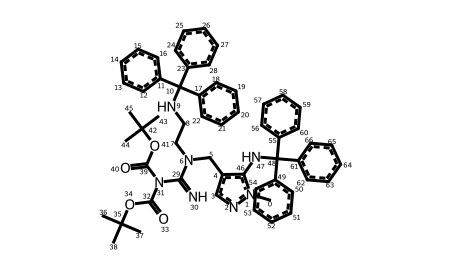 Cn1ncc(CN(CCNC(c2ccccc2)(c2ccccc2)c2ccccc2)C(=N)N(C(=O)OC(C)(C)C)C(=O)OC(C)(C)C)c1NC(c1ccccc1)(c1ccccc1)c1ccccc1